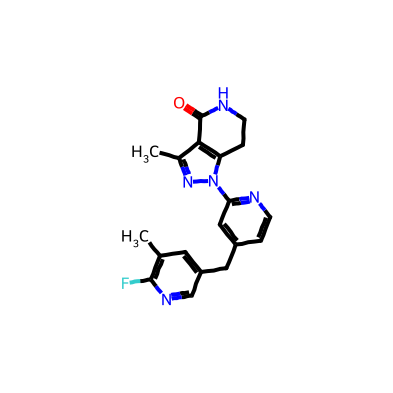 Cc1cc(Cc2ccnc(-n3nc(C)c4c3CCNC4=O)c2)cnc1F